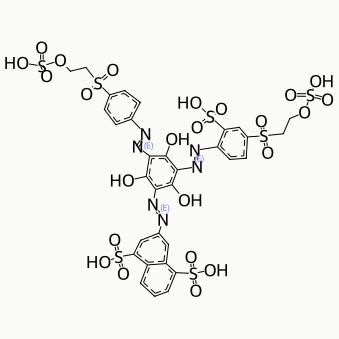 O=S(=O)(O)OCCS(=O)(=O)c1ccc(/N=N/c2c(O)c(/N=N/c3cc(S(=O)(=O)O)c4cccc(S(=O)(=O)O)c4c3)c(O)c(/N=N/c3ccc(S(=O)(=O)CCOS(=O)(=O)O)cc3S(=O)(=O)O)c2O)cc1